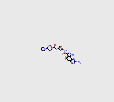 CC1(C)Cc2cnc(N)nc2-c2[nH]nc(C(=O)Nc3nc(CC(=O)N4CCC(N5CCCC5)CC4)cs3)c21